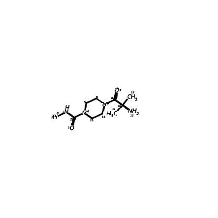 CC(C)NC(=O)N1CCN(C(=O)C(C)(C)N)CC1